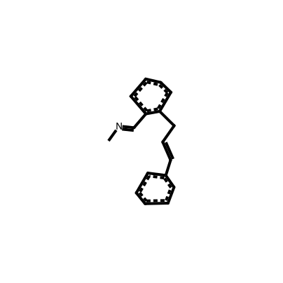 CN=Cc1ccccc1CC=Cc1ccccc1